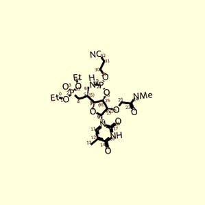 CCOP(=O)(C[C@@H](C)[C@H]1O[C@@H](n2cc(C)c(=O)[nH]c2=O)[C@H](OCC(=O)NC)[C@@H]1OP(N)OCCC#N)OCC